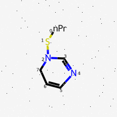 CCCSN1C=NC=CC1